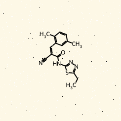 CCc1nnc(NC(=O)/C(C#N)=C\c2cc(C)ccc2C)s1